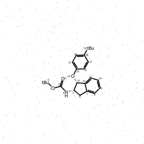 CC(C)(C)OC(=O)N[C@H]1Cc2ccccc2[C@H]1Oc1ccc(C(C)(C)C)cc1